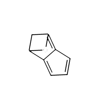 C1=CC2=C3CC(O3)C2=C1